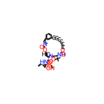 C=C[C@@H]1C[C@]1(NC(=O)[C@@H]1C[C@@H]2CN1C(=O)[C@H](C(C)(C)C)NC(=O)OCCCCCCc1cccc3c1CN(C3)C(=O)O2)P(=O)(O)CC